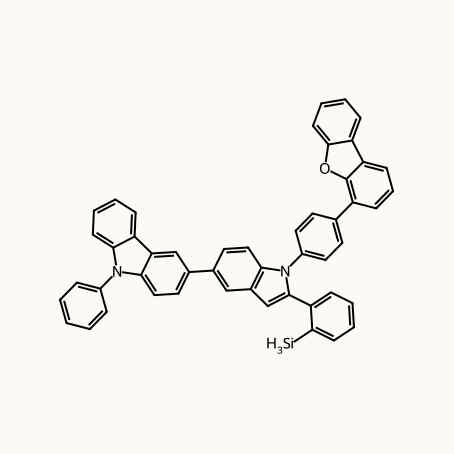 [SiH3]c1ccccc1-c1cc2cc(-c3ccc4c(c3)c3ccccc3n4-c3ccccc3)ccc2n1-c1ccc(-c2cccc3c2oc2ccccc23)cc1